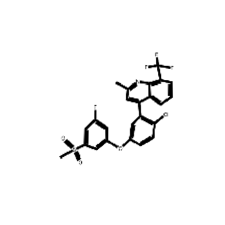 Cc1cc(-c2cc(Oc3cc(F)cc(S(C)(=O)=O)c3)ccc2Cl)c2cccc(C(F)(F)F)c2n1